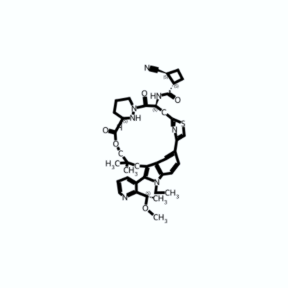 CCn1c(-c2cccnc2[C@H](C)OC)c2c3cc(ccc31)-c1csc(n1)C[C@H](NC(=O)[C@H]1CC[C@@H]1C#N)C(=O)N1CCC[C@H](N1)C(=O)OCC(C)(C)C2